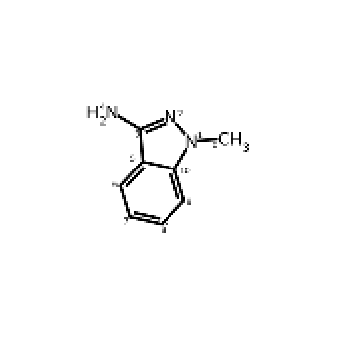 Cn1nc(N)c2cc[c]cc21